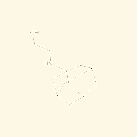 OCCNC12CC3CC(CC(C3)C1)C2